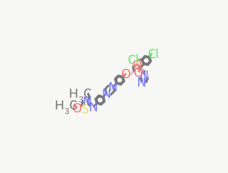 CCN1CC(OC)SC1=Nc1ccc(N2CCN(c3ccc(OC[C@@H]4CO[C@@](Cn5ccnc5)(c5ccc(Cl)cc5Cl)O4)cc3)CC2)cc1